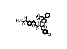 CC(=O)Nc1ccc2oc(C(=O)N[C@H](Cc3ccc(Cl)cc3)C(=O)N3CCC(Cn4cncn4)(C4CCCCC4)CC3)cc(=O)c2c1